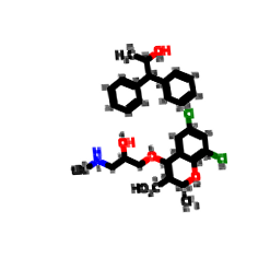 CC(C)(C)NCC(O)COC1=C(C(=O)O)[C@@H](C(F)(F)F)Oc2c(Cl)cc(Cl)cc21.CC(O)C(c1ccccc1)c1ccccc1